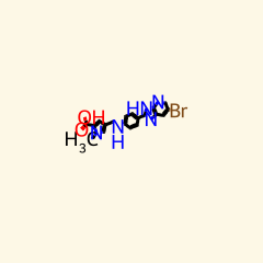 Cn1cc(CNc2ccc(-c3nc4cc(Br)cnc4[nH]3)cc2)cc1C(=O)O